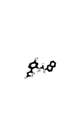 O=C(Nc1ccc2ccccc2c1)Nc1cc(Cl)ccc1C1=NOC(=O)C1